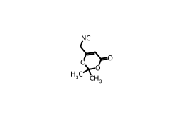 [C-]#[N+]CC1=CC(=O)OC(C)(C)O1